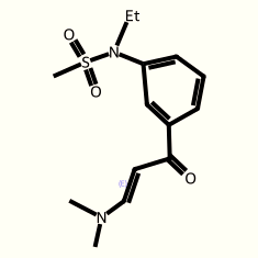 CCN(c1cccc(C(=O)/C=C/N(C)C)c1)S(C)(=O)=O